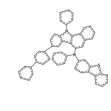 c1ccc(-c2ccc(-c3ccc4c(c3)c3c(N(c5ccccc5)c5ccc6c(c5)sc5ccccc56)cc5ccccc5c3n4-c3ccccc3)cc2)cc1